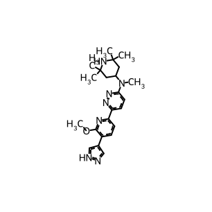 COc1nc(-c2ccc(N(C)C3CC(C)(C)NC(C)(C)C3)nn2)ccc1-c1cn[nH]c1